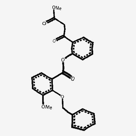 COC(=O)CC(=O)c1ccccc1OC(=O)c1cccc(OC)c1OCc1ccccc1